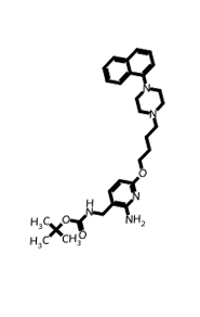 CC(C)(C)OC(=O)NCc1ccc(OCCCCN2CCN(c3cccc4ccccc34)CC2)nc1N